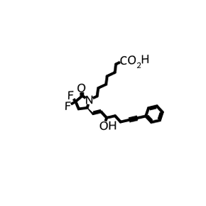 O=C(O)CCCCCCN1C(=O)C(F)(F)C[C@@H]1/C=C/C(O)CCC#Cc1ccccc1